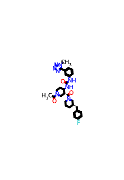 CC(=O)N1CC[C@@H](NC(=O)Nc2cccc(-c3nnnn3C)c2)[C@H](C(=O)N2CCC[C@@H](Cc3ccc(F)cc3)C2)C1